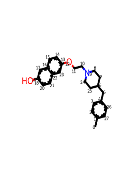 Cc1ccc(CC2CCN(CCOc3ccc4cc(O)ccc4c3)CC2)cc1